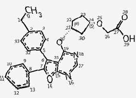 CCc1ccc(-c2c(-c3ccccc3)oc3ncnc(O[C@@H]4CC[C@H](OCC(=O)O)C4)c23)cc1